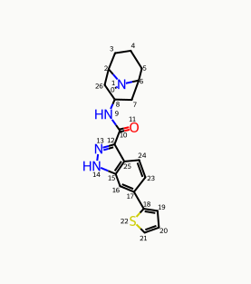 CN1C2CCCC1CC(NC(=O)c1n[nH]c3cc(-c4cccs4)ccc13)C2